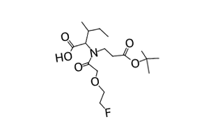 CCC(C)C(C(=O)O)N(CCC(=O)OC(C)(C)C)C(=O)COCCF